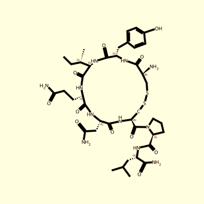 CC[C@H](C)[C@@H]1NC(=O)[C@H](Cc2ccc(O)cc2)NC(=O)[C@@H](N)CSSC[C@@H](C(=O)N2CCC[C@H]2C(=O)N[C@@H](CC(C)C)C(N)=O)NC(=O)[C@H](CC(N)=O)NC(=O)[C@H](CCC(N)=O)NC1=O